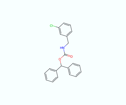 O=C(NCc1cccc(Cl)c1)OC(c1ccccc1)c1ccccc1